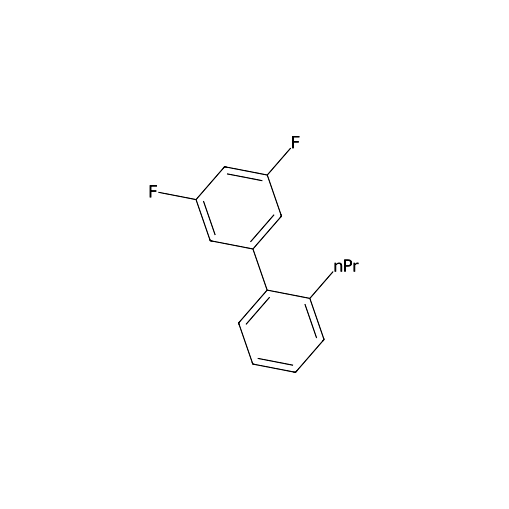 CCCc1ccccc1-c1cc(F)cc(F)c1